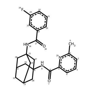 Cc1cccc(C(=O)NC23CC4CC(CC(NC(=O)c5cccc(F)c5)(C4)C2)C3)n1